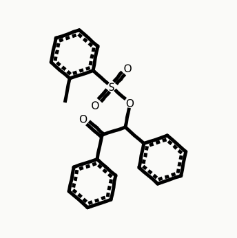 Cc1ccccc1S(=O)(=O)OC(C(=O)c1ccccc1)c1ccccc1